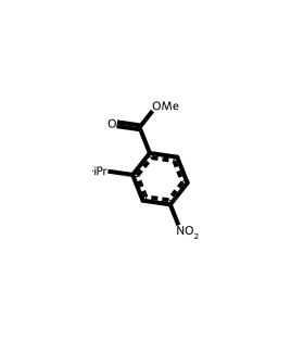 COC(=O)c1ccc([N+](=O)[O-])cc1[C](C)C